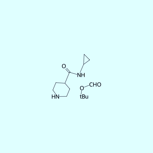 CC(C)(C)OC=O.O=C(NC1CC1)C1CCNCC1